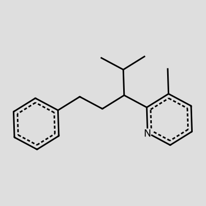 Cc1cccnc1C(CCc1ccccc1)C(C)C